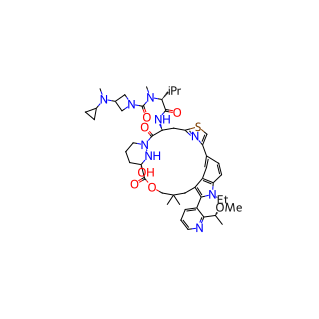 CCn1c(-c2cccnc2[C@H](C)OC)c2c3cc(ccc31)-c1csc(n1)C[C@H](NC(=O)[C@H](C(C)C)N(C)C(=O)N1CC(N(C)C3CC3)C1)C(=O)N1CCC[C@@](O)(N1)C(=O)OCC(C)(C)C2